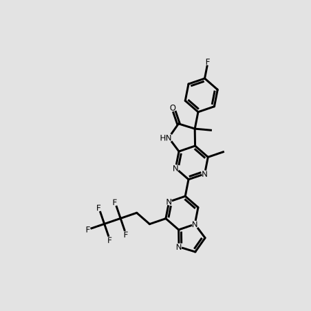 Cc1nc(-c2cn3ccnc3c(CCC(F)(F)C(F)(F)F)n2)nc2c1C(C)(c1ccc(F)cc1)C(=O)N2